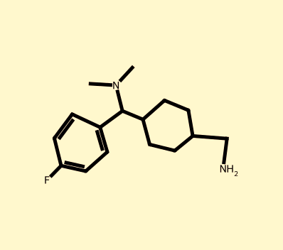 CN(C)C(c1ccc(F)cc1)C1CCC(CN)CC1